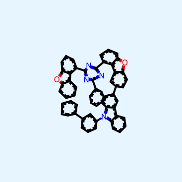 c1ccc(-c2cccc(-n3c4ccccc4c4cc(-c5ccc6oc7cccc(-c8nc(-c9ccccc9)nc(-c9cccc%10oc%11ccccc%11c9%10)n8)c7c6c5)ccc43)c2)cc1